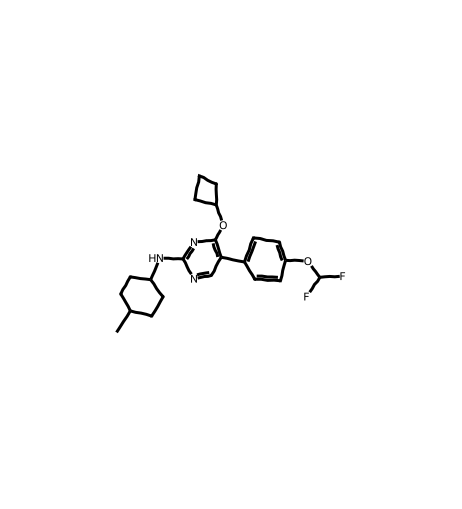 CC1CCC(Nc2ncc(-c3ccc(OC(F)F)cc3)c(OC3CCC3)n2)CC1